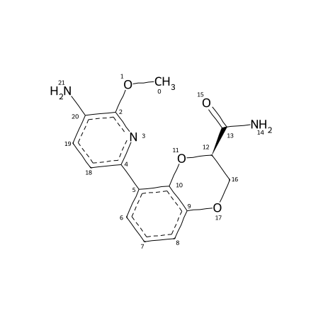 COc1nc(-c2cccc3c2O[C@@H](C(N)=O)CO3)ccc1N